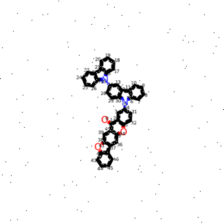 O=c1c2cc(-n3c4ccccc4c4cc(-n5c6ccccc6c6ccccc65)ccc43)ccc2oc2cc3c(cc12)oc1ccccc13